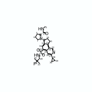 CNC(=O)[C@H]1CCCN1[C@@H]1CCc2c1cc(S(=O)(=O)NCC(C)(C)F)c1cc(C3CC3)ncc21